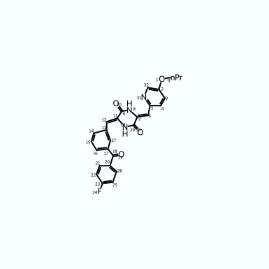 CCCOc1ccc(C=c2[nH]c(=O)c(=Cc3cccc(C(=O)c4ccc(F)cc4)c3)[nH]c2=O)nc1